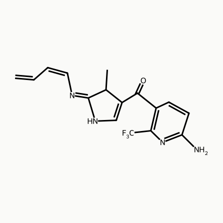 C=C/C=C\N=C1\NC=C(C(=O)c2ccc(N)nc2C(F)(F)F)C1C